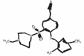 Cc1ccc(C)c(Sc2ccc(C#N)cc2S(=O)(=O)N2CCCN(C)CC2)c1